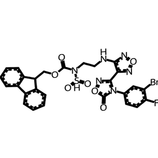 O=C(OCC1c2ccccc2-c2ccccc21)N(CCNc1nonc1-c1noc(=O)n1-c1ccc(F)c(Br)c1)[SH](=O)=O